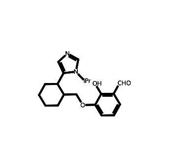 CC(C)n1cncc1C1CCCCC1COc1cccc(C=O)c1O